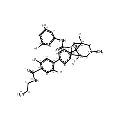 CN1C[C@@H]2CN(C(=O)Nc3cc(F)cc(F)c3)C[C@H](C1)[C@@]2(O)c1ccc(-c2cc(F)c(C(=O)NCCN)cc2F)cc1